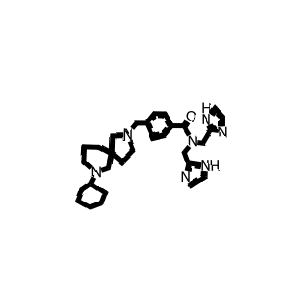 O=C(c1ccc(CN2CCC3(CCCN(C4CCCCC4)C3)C2)cc1)N(Cc1ncc[nH]1)Cc1ncc[nH]1